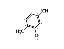 Cc1ccc(C#N)cc1[O]